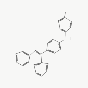 Cc1ccc(Nc2ccc(C(=Cc3ccccc3)c3ccccc3)cc2)cc1